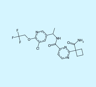 CC(NC(=O)c1ccnc(C2(C(N)=O)CCC2)n1)c1cnc(OCC(F)(F)F)c(Cl)c1